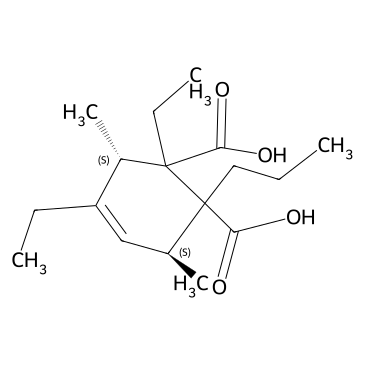 CCCC1(C(=O)O)[C@@H](C)C=C(CC)[C@H](C)C1(CC)C(=O)O